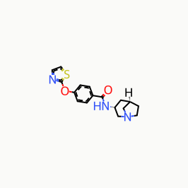 O=C(N[C@@H]1C[C@H]2CCN(C2)C1)c1ccc(Oc2nccs2)cc1